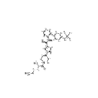 CCCCC(O)C(=O)N1CCC(c2nc(C(=O)Nc3ccccc3-c3ccc(CC(F)(F)F)cc3)cs2)CC1